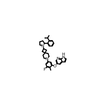 Cc1c(F)cc(N2CCC3(CC2)CC(N2CCCC2c2ccccc2C(C)C)C3)cc1Oc1cnc2[nH]ccc2c1